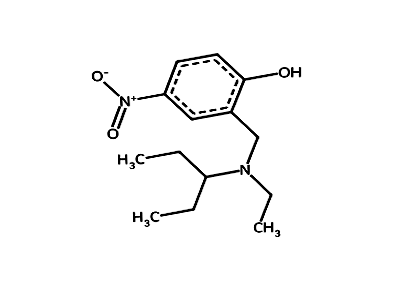 CCC(CC)N(CC)Cc1cc([N+](=O)[O-])ccc1O